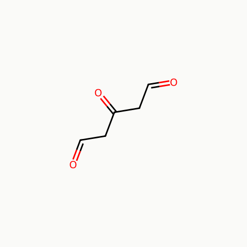 O=CCC(=O)CC=O